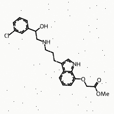 COC(=O)COc1cccc2c(CCCNCC(O)c3cccc(Cl)c3)c[nH]c12